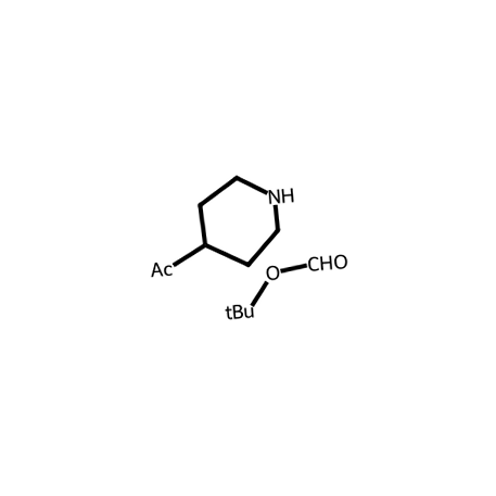 CC(=O)C1CCNCC1.CC(C)(C)OC=O